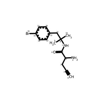 C#CCC(N)C(=O)NC(C)(C)Cc1ccc(Br)cc1